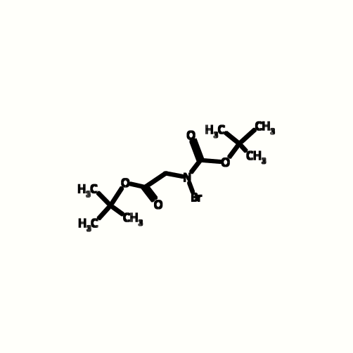 CC(C)(C)OC(=O)CN(Br)C(=O)OC(C)(C)C